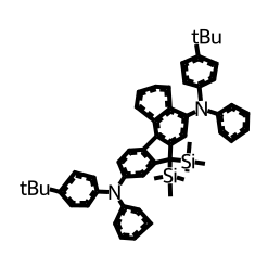 CC(C)(C)c1ccc(N(c2ccccc2)c2ccc3c(c2)C([Si](C)(C)C)([Si](C)(C)C)c2cc(N(c4ccccc4)c4ccc(C(C)(C)C)cc4)c4ccccc4c2-3)cc1